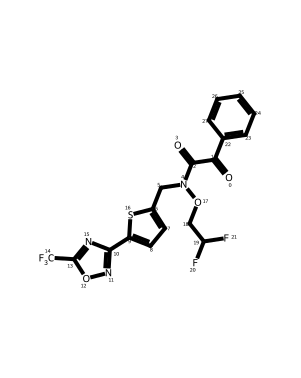 O=C(C(=O)N(Cc1ccc(-c2noc(C(F)(F)F)n2)s1)OCC(F)F)c1ccccc1